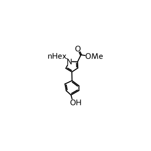 CCCCCCn1cc(-c2ccc(O)cc2)cc1C(=O)OC